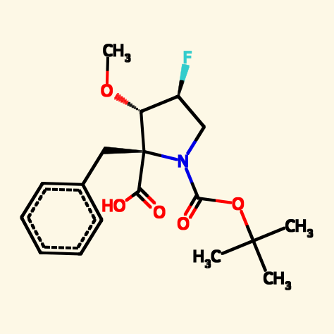 CO[C@@H]1[C@@H](F)CN(C(=O)OC(C)(C)C)[C@]1(Cc1ccccc1)C(=O)O